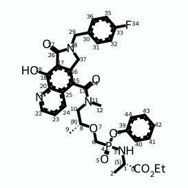 CCOC(=O)[C@H](C)NP(=O)(CO[C@H](C)CN(C)C(=O)c1c2c(c(O)c3ncccc13)C(=O)N(Cc1ccc(F)cc1)C2)Oc1ccccc1